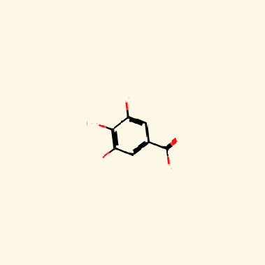 O=C(O)c1cc(O)c(O)c(O)c1.[Ti]